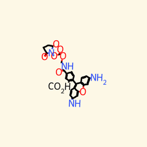 N=c1ccc2c(-c3ccc(C(=O)NCOC(=O)ON4C(=O)CCC4=O)cc3C(=O)O)c3ccc(N)cc3oc-2c1